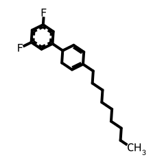 CCCCCCCCCC1=CCC(c2cc(F)cc(F)c2)C=C1